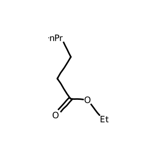 CC[CH]CCC(=O)OCC